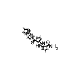 NC(=O)c1cccc2[nH]c(-c3cccc(C(=O)N4CCN(c5ncccn5)CC4)c3)nc12